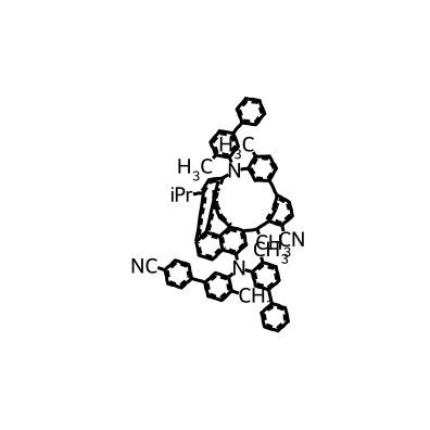 Cc1ccc(-c2ccccc2)cc1N1c2cc(ccc2C)-c2ccc(C#N)c(c2)C(C)c2cc(N(c3cc(-c4ccccc4)ccc3C)c3cc(-c4ccc(C#N)cc4)ccc3C)c3ccc4c(C(C)C)cc1c1ccc2c3c41